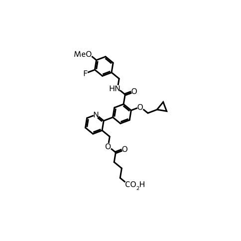 COc1ccc(CNC(=O)c2cc(-c3ncccc3COC(=O)CCCC(=O)O)ccc2OCC2CC2)cc1F